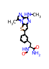 CNc1nc2cc(-c3cccc(CC(NC=O)C(N)=O)c3)sc2n2c(C)cnc12